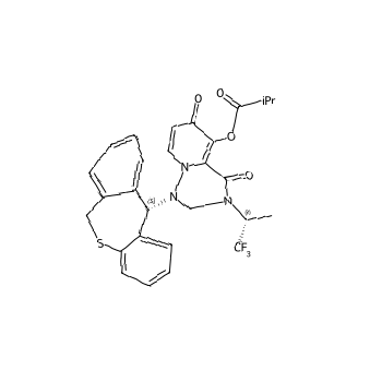 CC(C)C(=O)Oc1c2n(ccc1=O)N([C@H]1c3ccccc3CSc3ccccc31)CN([C@H](C)C(F)(F)F)C2=O